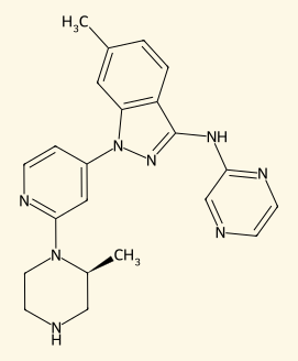 Cc1ccc2c(Nc3cnccn3)nn(-c3ccnc(N4CCNC[C@@H]4C)c3)c2c1